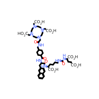 O=C(O)CCC(NC(=O)NCCCCC(NC(=O)C(Cc1ccc2ccccc2c1)NC(=O)C1CCC(CNC(=O)CN2CCN(CC(=O)O)CCN(CC(=O)O)CCN(CC(=O)O)CC2)CC1)C(=O)O)C(=O)O